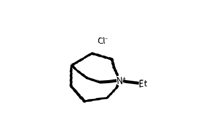 CC[N+]12CCCC(CC1)CC2.[Cl-]